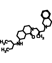 C=C(CN1CCc2ccccc2C1)CN1CCC2CCC(NC(CC)CC)CC2C1=O